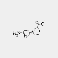 COC(=O)C1CCCN(c2ccc(N)nc2)C1